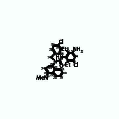 CCc1c(N)cc(Cl)c(CC)c1NC(=O)N(Cc1ccc(Cl)cc1)c1ccc(NC)c2ccccc12